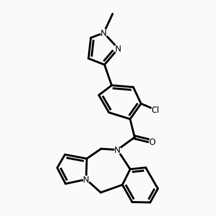 Cn1ccc(-c2ccc(C(=O)N3Cc4cccn4Cc4ccccc43)c(Cl)c2)n1